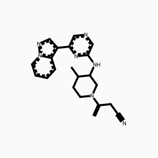 C=C(CC#N)N1CCC(C)C(Nc2cncc(-c3cnn4ccccc34)n2)C1